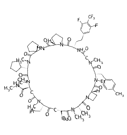 CC[C@H](C)[C@@H]1CC(=O)[C@H](CC(C)C)N(C)C(=O)C[C@@H](C(=O)N(C)C)N(C)C(=O)[C@H](C2CCCC2)N(C)C(=O)C2(CCCC2)NC(=O)[C@@H]2CCCN2C(=O)[C@H](CCc2cc(F)c(C(F)(F)F)c(F)c2)NC(=O)CN(C)C(=O)[C@H](Cc2ccc(C)cc2)N(CC)C(=O)[C@@H]2CCN2C(=O)[C@H](C)N(C)C1=O